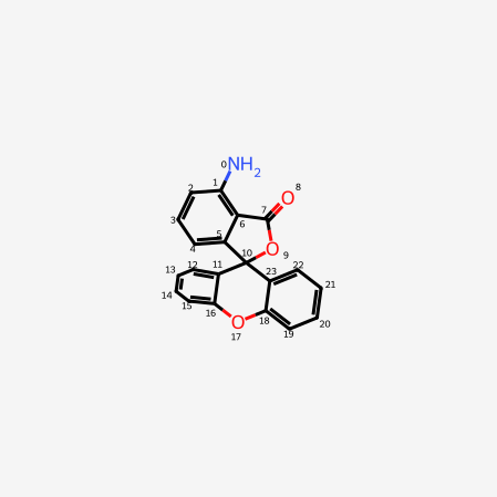 Nc1cccc2c1C(=O)OC21c2ccccc2Oc2ccccc21